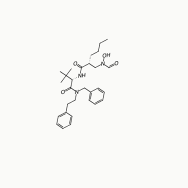 CCCC[C@H](CN(O)C=O)C(=O)N[C@H](C(=O)N(CCc1ccccc1)Cc1ccccc1)C(C)(C)C